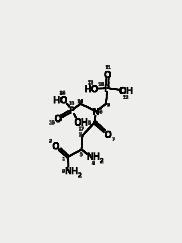 NC(=O)C(N)CC(=O)N(CP(=O)(O)O)CP(=O)(O)O